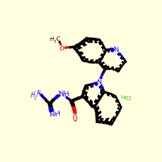 COc1ccc2nccc(-n3cc(C(=O)NC(=N)N)c4ccccc43)c2c1.Cl